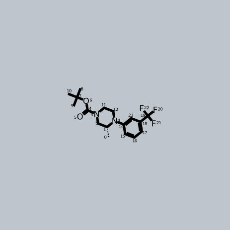 C[C@@H]1CN(C(=O)OC(C)(C)C)CCN1c1cccc(C(F)(F)F)c1